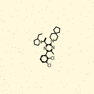 C=C(c1nc(-c2cccc(Cl)c2Cl)c(C)nc1N1CCC2(CCCC2)CC1)N1CCCC1CC